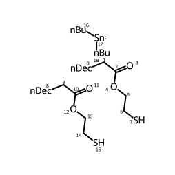 CCCCCCCCCCCC(=O)OCCS.CCCCCCCCCCCC(=O)OCCS.CCC[CH2][Sn][CH2]CCC